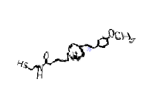 COc1ccc(/C=C/c2cc[n+](CCCC(=O)NCCS)cc2)cc1